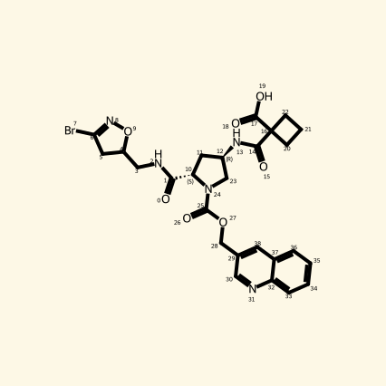 O=C(NCC1CC(Br)=NO1)[C@@H]1C[C@@H](NC(=O)C2(C(=O)O)CCC2)CN1C(=O)OCc1cnc2ccccc2c1